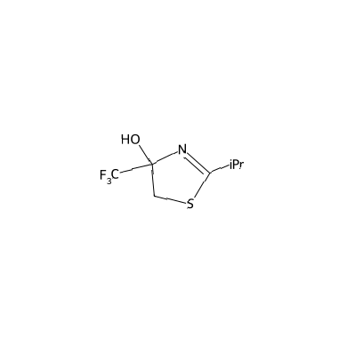 CC(C)C1=NC(O)(C(F)(F)F)CS1